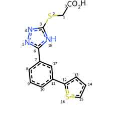 O=C(O)CSc1nnc(-c2cccc(-c3cccs3)c2)[nH]1